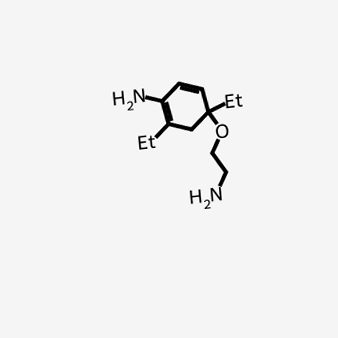 CCC1=C(N)C=CC(CC)(OCCN)C1